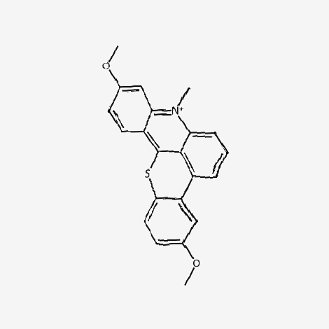 COc1ccc2c(c1)-c1cccc3c1c(c1ccc(OC)cc1[n+]3C)S2